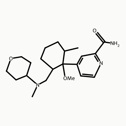 COC1(c2ccnc(C(N)=O)c2)C(C)CCCC1CN(C)C1CCOCC1